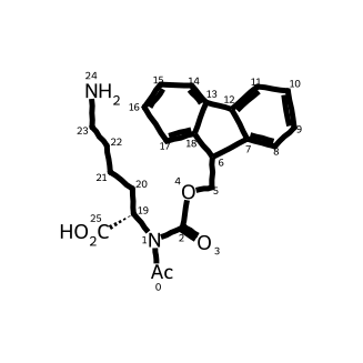 CC(=O)N(C(=O)OCC1c2ccccc2-c2ccccc21)[C@@H](CCCCN)C(=O)O